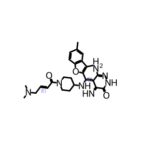 Cc1ccc2oc(/C(NC3CCN(C(=O)/C=C/CN(C)C)CC3)=C3/C(=N)C(=O)NN=C3N)c(C)c2c1